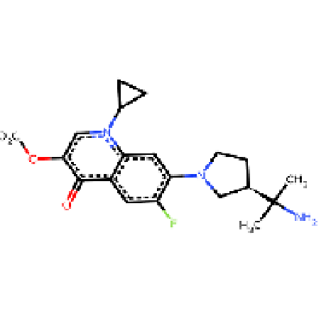 CC(C)(N)[C@@H]1CCN(c2cc3c(cc2F)c(=O)c(OC(=O)O)cn3C2CC2)C1